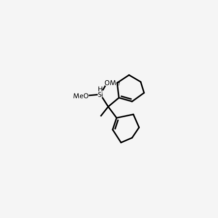 CO[SiH](OC)C(C)(C1=CCCCC1)C1=CCCCC1